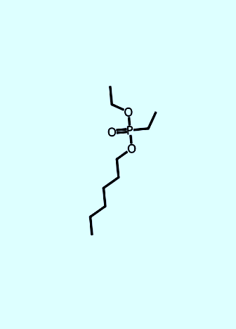 CCCCCCOP(=O)(CC)OCC